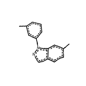 Cc1cccc(-n2ncc3ccc(C)cc32)c1